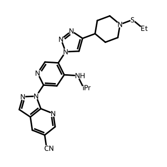 CCSN1CCC(c2cn(-c3cnc(-n4ncc5cc(C#N)cnc54)cc3NC(C)C)nn2)CC1